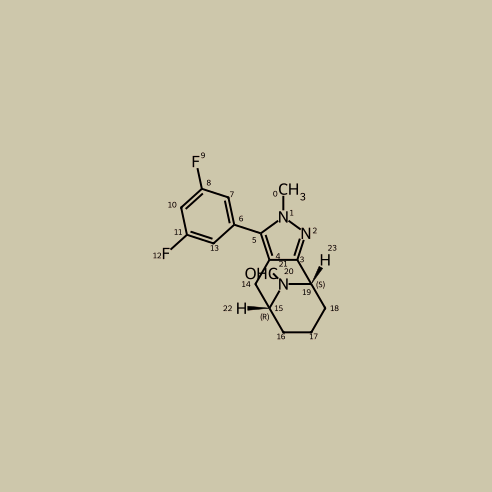 Cn1nc2c(c1-c1cc(F)cc(F)c1)C[C@H]1CCC[C@@H]2N1C=O